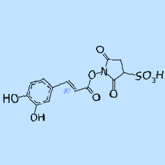 O=C(/C=C/c1ccc(O)c(O)c1)ON1C(=O)CC(S(=O)(=O)O)C1=O